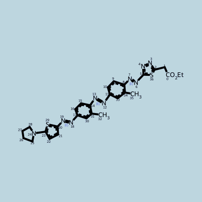 CCOC(=O)Cc1nnc(/N=N/c2ccc(/N=N/c3ccc(/N=N/c4ccc(N5CCCC5)s4)cc3C)cc2C)s1